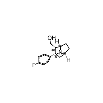 CN1[C@H]2CC[C@@H]1[C@H](CO)[C@@H](c1ccc(F)cc1)C2